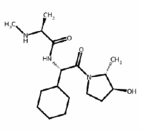 CN[C@@H](C)C(=O)N[C@H](C(=O)N1CC[C@H](O)[C@H]1C)C1CCCCC1